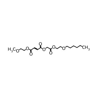 CCCCCCOCCOC(=O)COC(=O)/C=C/C(=O)OCCOC